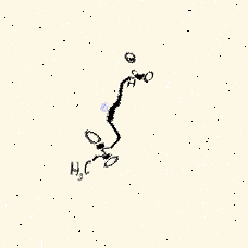 CS(=O)(=O)C/C=C/C[SH](=O)=O